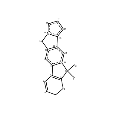 CC1(C)C2=C(C=CCC2)c2cc3c(cc21)-c1cccn1C3